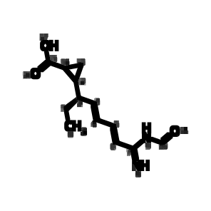 CC[C@H](/C=C/C=C/C(=N)NC=O)C1CC1C(=O)O